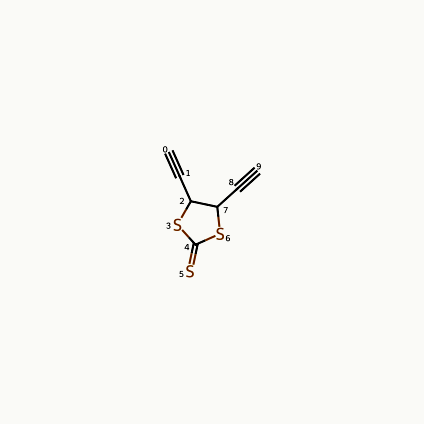 C#CC1SC(=S)SC1C#C